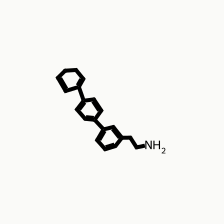 NCCc1cccc(-c2ccc(C3=CCCC=C3)cc2)c1